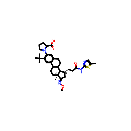 CO/N=C1\C[C@@H](CCC(=O)Nc2ncc(C)s2)C2C3CCc4cc(N5CCCC5C(=O)O)c(C(C)(C)C)cc4C3CC[C@]12C